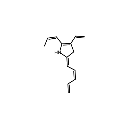 C=C/C=C\C=C1/CC(C=C)=C(/C=C\C)N1